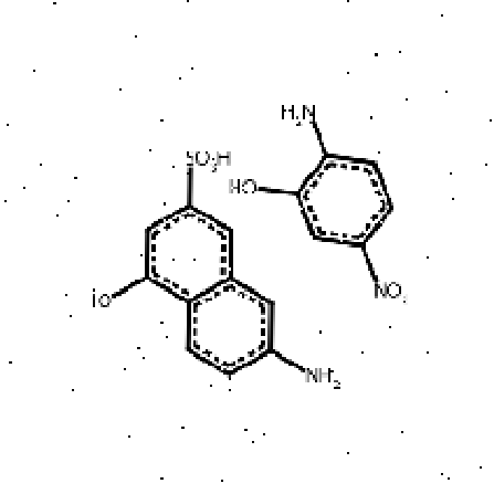 Nc1ccc([N+](=O)[O-])cc1O.Nc1ccc2c(O)cc(S(=O)(=O)O)cc2c1